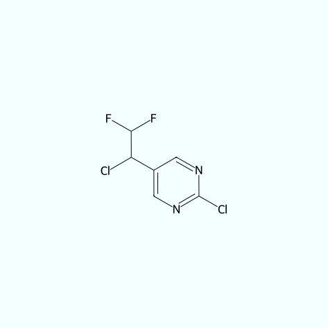 FC(F)C(Cl)c1cnc(Cl)nc1